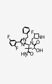 CNC(=O)C(C)(C)[C@H](c1nc(-c2cc(F)ccc2F)cn1Cc1ccccc1)N(C[C@@H]1CNC[C@@H]1F)C(=O)[C@H](C)O